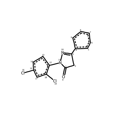 O=C1CC(c2ccccc2)=NN1c1ccc(Cl)cc1Cl